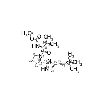 COC(=O)N[C@H](C(=O)N1CCC[C@H]1c1nc(C#C[Si](C)(C)C)c[nH]1)C(C)C